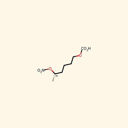 C[C@@H](CCCCOC(=O)O)O[N+](=O)[O-]